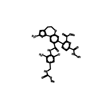 CCCNC(=O)c1ccc(-c2cc3c(cc2C(=O)Nc2c(C)cc(CNC(=O)OC(C)(C)C)cc2Cl)-c2sc(C)cc2CCO3)c(C(=O)OC)n1